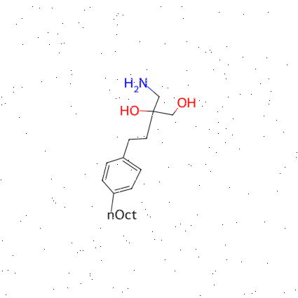 CCCCCCCCc1ccc(CCC(O)(CN)CO)cc1